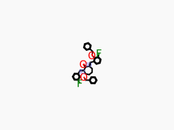 O=C1/C(=C/c2cccc(F)c2OCc2ccccc2)CCCC/C1=C\c1cccc(F)c1OCc1ccccc1